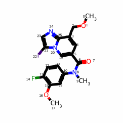 COCc1cc(C(=O)N(C)c2ccc(F)c(OC)c2)cn2c(I)cnc12